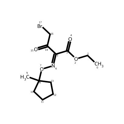 CCOC(=O)/C(=N/OC1(C)CCCC1)C(=O)CBr